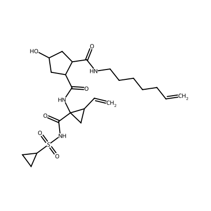 C=CCCCCCNC(=O)C1CC(O)CC1C(=O)NC1(C(=O)NS(=O)(=O)C2CC2)CC1C=C